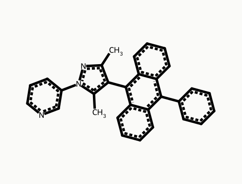 Cc1nn(-c2cccnc2)c(C)c1-c1c2ccccc2c(-c2ccccc2)c2ccccc12